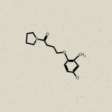 Cc1cc(Cl)ccc1OCCCC(=O)N1CCCC1